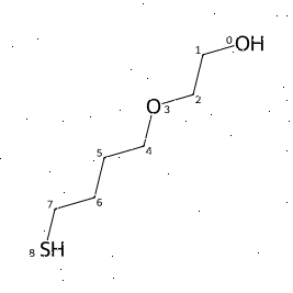 OCCOCCCCS